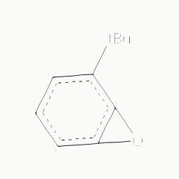 CC(C)(C)c1cc[c]c2c1O2